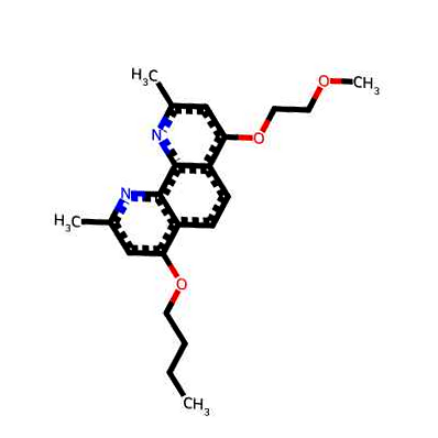 CCCCOc1cc(C)nc2c1ccc1c(OCCOC)cc(C)nc12